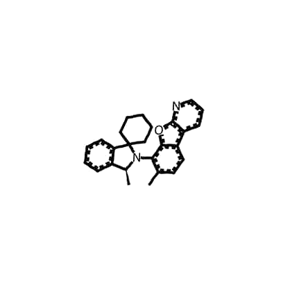 Cc1ccc2c(oc3ncccc32)c1N1[C@@H](C)c2ccccc2C12CCCCC2